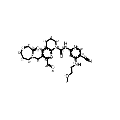 COCCNc1cc(NC(=O)N2CCCc3cc(CN4CCCOCC4=O)c(C=O)nc32)ncc1C#N